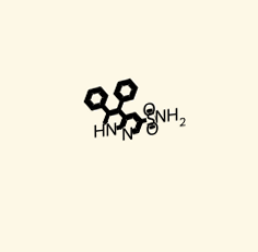 NS(=O)(=O)c1cnc2c(c1)C(c1ccccc1)=C(c1ccccc1)CN2